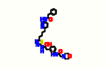 O=C(CN1CCOCC1)Nc1cccc(CC(O)Nc2nnc(CCCCc3ccc(NC(=O)Cc4ccccc4)nn3)s2)c1